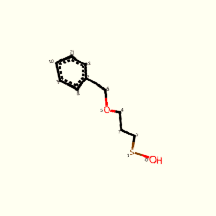 OSCCCOCc1ccccc1